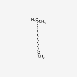 C=COCCCCCCCCCCCCCCCC(C)C